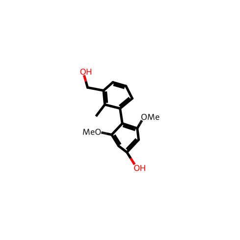 COc1cc(O)cc(OC)c1-c1cccc(CO)c1C